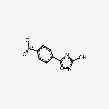 O=[N+]([O-])c1ccc(-c2nc(O)no2)cc1